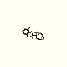 Cc1cccc(C)c1NC(=O)C1=NC=COC=C1